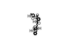 C=C1CCC(N2Cc3c(NC(=O)CCC(=O)N[C@@H](Cc4ccccc4)C(=O)O)cccc3C2=O)C(=O)N1